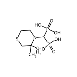 CC1(C)CSCCN1C(P(=O)(O)O)P(=O)(O)O